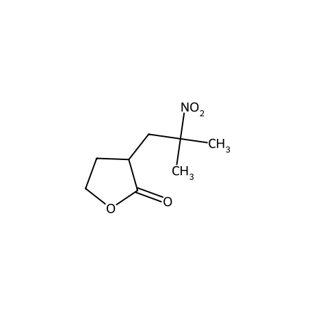 CC(C)(CC1CCOC1=O)[N+](=O)[O-]